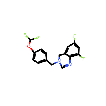 Fc1cc(F)c2c(c1)CN(Cc1ccc(OC(F)F)cc1)C=N2